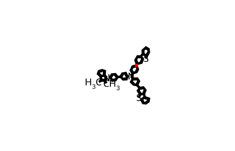 Cc1c(C)n(-c2ccc(-c3ccc(N(c4ccc(-c5ccc6c(c5)sc5ccccc56)cc4)c4ccc(-c5ccc6c(c5)sc5ccccc56)cc4)cc3)cc2)c2ccccc12